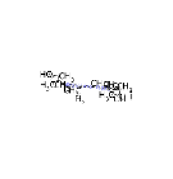 CC1=C(C#C/C(C)=C/C=C/C(C)=C/C=C/C=C(C)/C=C/C=C(C)/C=C/C2=C(C)C(O)C(O)CC2(C)C)C(C)(C)CC(O)C1